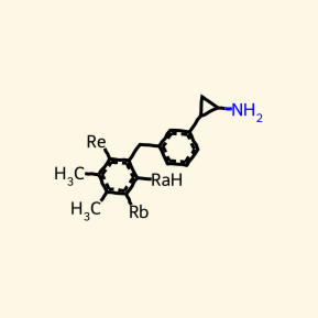 Cc1c(C)[c]([Re])c(Cc2cccc(C3CC3N)c2)[c]([RaH])[c]1[Rb]